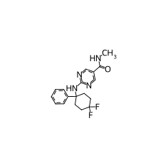 CNC(=O)c1cnc(NC2(c3ccccc3)CCC(F)(F)CC2)nc1